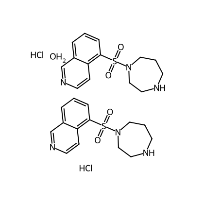 Cl.Cl.O.O=S(=O)(c1cccc2cnccc12)N1CCCNCC1.O=S(=O)(c1cccc2cnccc12)N1CCCNCC1